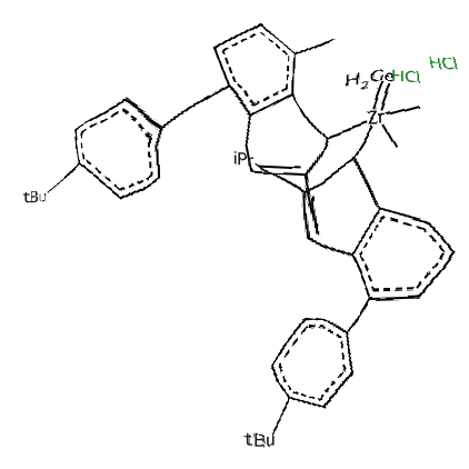 CC1=Cc2c(-c3ccc(C(C)(C)C)cc3)ccc(C)c2[CH]1[Zr]([CH3])([CH3])(=[GeH2])[CH]1C(C(C)C)=Cc2c(-c3ccc(C(C)(C)C)cc3)cccc21.Cl.Cl